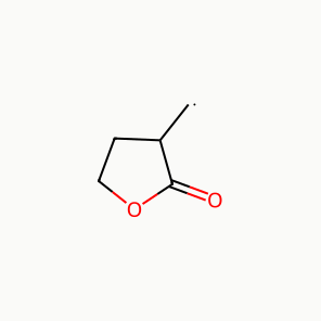 [CH2]C1CCOC1=O